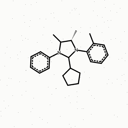 Cc1ccccc1N1C(C2CCCC2)N(c2ccccc2)C(C)[C@@H]1C